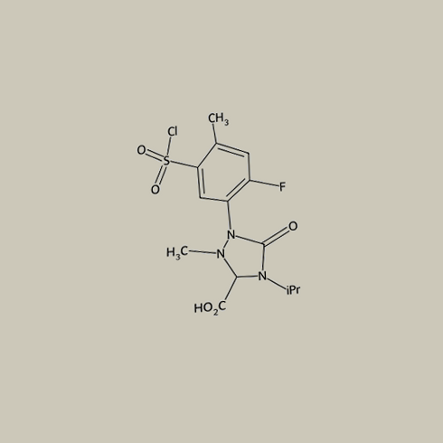 Cc1cc(F)c(N2C(=O)N(C(C)C)C(C(=O)O)N2C)cc1S(=O)(=O)Cl